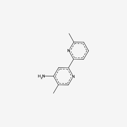 Cc1cccc(-c2cc(N)c(C)cn2)n1